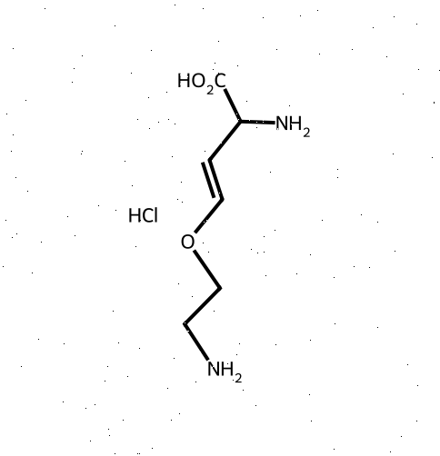 Cl.NCCOC=CC(N)C(=O)O